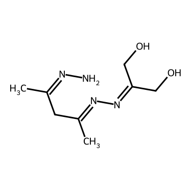 CC(CC(C)=NN=C(CO)CO)=NN